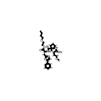 CCCCOCCOC(=O)[C@H](Cc1ncc(-c2ccccc2)o1)NC(=O)C1(C[C@@H](CCOC)C(=O)O)CCCC1